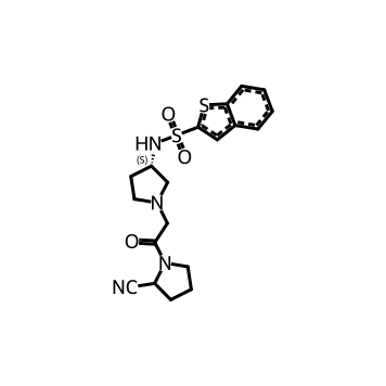 N#CC1CCCN1C(=O)CN1CC[C@H](NS(=O)(=O)c2cc3ccccc3s2)C1